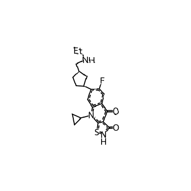 CCNCC1CCC(c2cc3c(cc2F)c(=O)c2c(=O)[nH]sc2n3C2CC2)C1